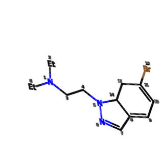 CCN(CC)CCN1N=CC2=CC=C(Br)CC21